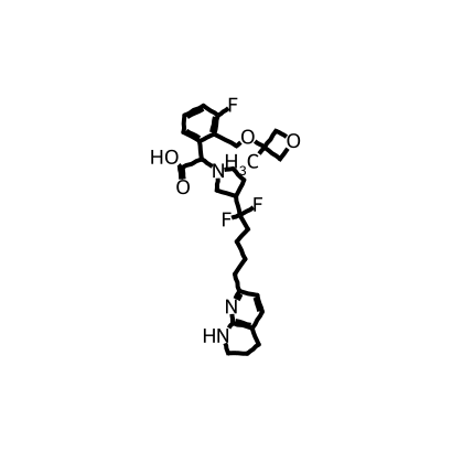 CC1(OCc2c(F)cccc2C(C(=O)O)N2CCC(C(F)(F)CCCCc3ccc4c(n3)NCCC4)C2)COC1